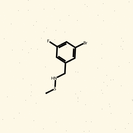 CSNCc1cc(F)cc(Br)c1